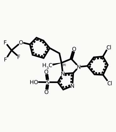 C[C@@]1(Cc2ccc(OC(F)(F)F)cc2)C(=O)N(c2cc(Cl)cc(Cl)c2)c2ncc(S(=O)(=O)O)n21